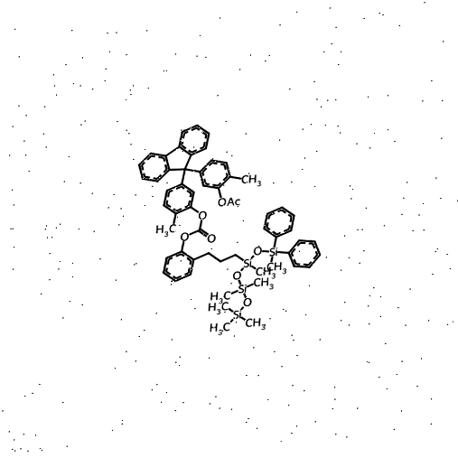 CC(=O)Oc1cc(C2(c3ccc(C)c(OC(=O)Oc4ccccc4CCC[Si](C)(O[Si](C)(C)O[Si](C)(C)C)O[Si](C)(c4ccccc4)c4ccccc4)c3)c3ccccc3-c3ccccc32)ccc1C